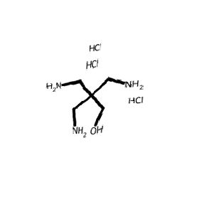 Cl.Cl.Cl.NCC(CN)(CN)CO